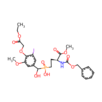 CCOC(=O)COc1c(I)cc(C(O)P(=O)(O)CC[C@H](NC(=O)OCc2ccccc2)C(=O)OC)cc1OC